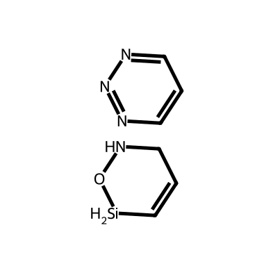 C1=C[SiH2]ONC1.c1cnnnc1